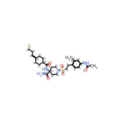 CC(=O)Nc1ccc(CCS(=O)(=O)N2CCC(NC(=O)C3CCC(=CCCF)CC3)(C(N)=O)CC2)c(C)c1